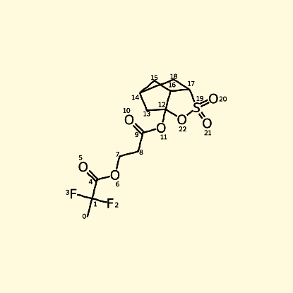 CC(F)(F)C(=O)OCCC(=O)OC12CC3CC1C(C3)S(=O)(=O)O2